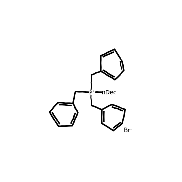 CCCCCCCCCC[P+](Cc1ccccc1)(Cc1ccccc1)Cc1ccccc1.[Br-]